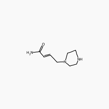 NC(=O)C=CCN1CCNCC1